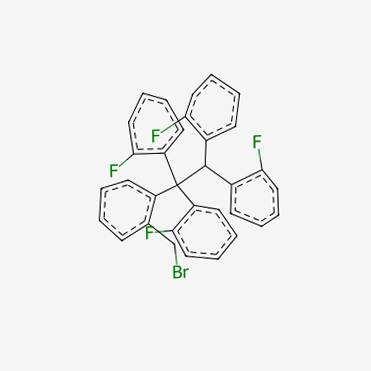 Fc1ccccc1C(c1ccccc1F)C(c1ccccc1F)(c1ccccc1F)c1ccccc1CBr